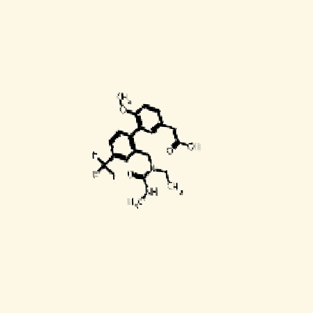 CCN(Cc1cc(C(F)(F)F)ccc1-c1cc(CC(=O)O)ccc1OC)C(=O)NC